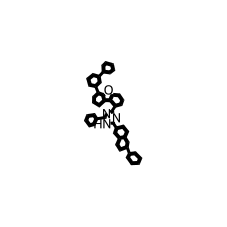 c1ccc(-c2cccc(-c3cccc4c3oc3cccc(C5=NC(c6ccccc6)NC(c6ccc7cc(-c8ccccc8)ccc7c6)=N5)c34)c2)cc1